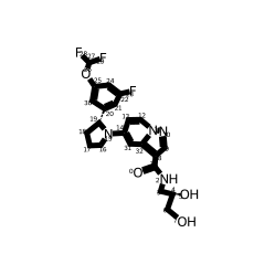 O=C(NC[C@H](O)CO)c1cnn2ccc(N3CCC[C@@H]3c3cc(F)cc(OC(F)F)c3)cc12